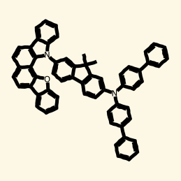 CC1(C)c2cc(N(c3ccc(-c4ccccc4)cc3)c3ccc(-c4ccccc4)cc3)ccc2-c2ccc(-n3c4ccccc4c4ccc5ccc6c7ccccc7oc6c5c43)cc21